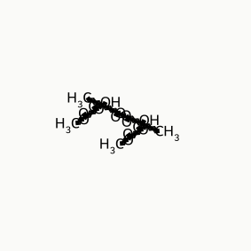 CCCCCC(OC(=O)CCCC(=O)OCCC)C(O)CCCCC(=O)OCOC(=O)CCCCC(O)C(CCCCC)OC(=O)CCCC(=O)OCCC